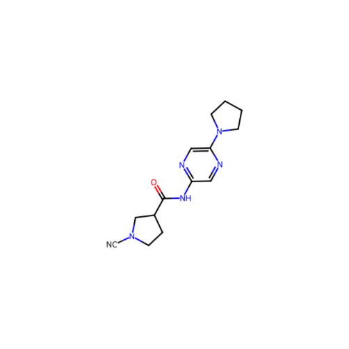 N#CN1CCC(C(=O)Nc2cnc(N3CCCC3)cn2)C1